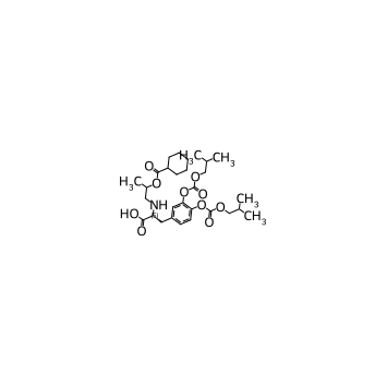 CC(C)COC(=O)Oc1ccc(C[C@H](NCC(C)OC(=O)C2CCCCC2)C(=O)O)cc1OC(=O)OCC(C)C